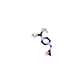 CC(C)N1CCN(C[C@@H]2CO2)CC1